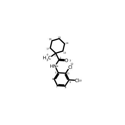 CC1(C(=O)Nc2cccc(Cl)c2Cl)CCCCC1